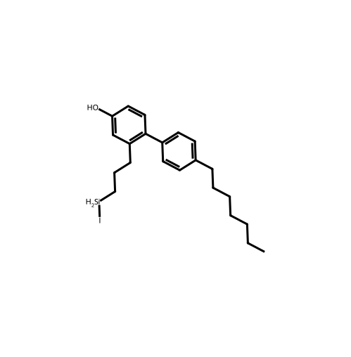 CCCCCCCc1ccc(-c2ccc(O)cc2CCC[SiH2]I)cc1